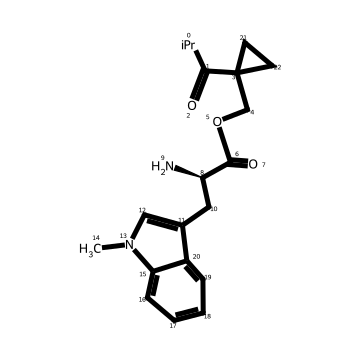 CC(C)C(=O)C1(COC(=O)[C@H](N)Cc2cn(C)c3ccccc23)CC1